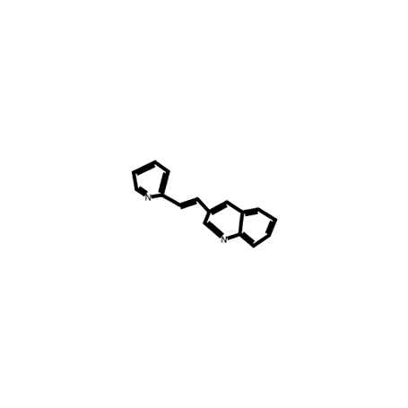 C(=C\c1ccccn1)/c1cnc2ccccc2c1